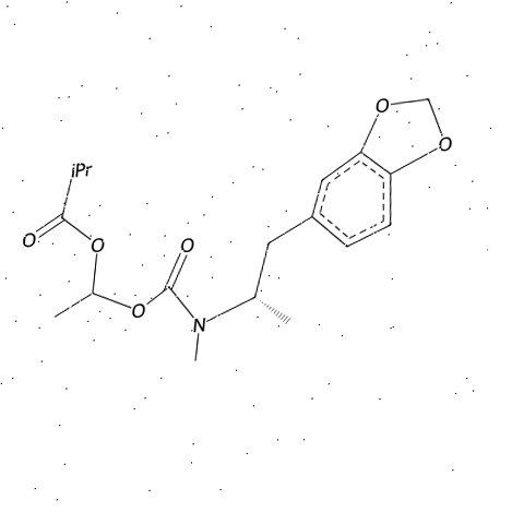 CC(OC(=O)C(C)C)OC(=O)N(C)[C@@H](C)Cc1ccc2c(c1)OCO2